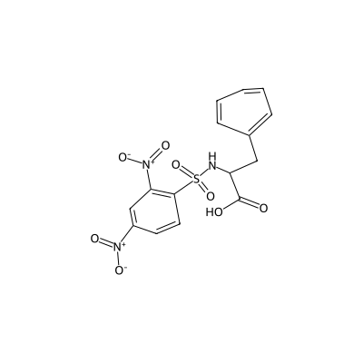 O=C(O)C(Cc1ccccc1)NS(=O)(=O)c1ccc([N+](=O)[O-])cc1[N+](=O)[O-]